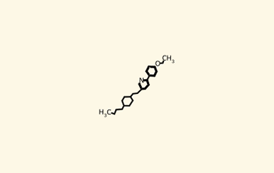 CCCCC1CCC(CCc2ccc(-c3ccc(OCC)cc3)nc2)CC1